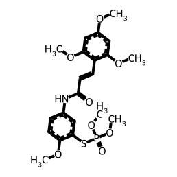 COc1cc(OC)c(/C=C/C(=O)Nc2ccc(OC)c(SP(=O)(OC)OC)c2)c(OC)c1